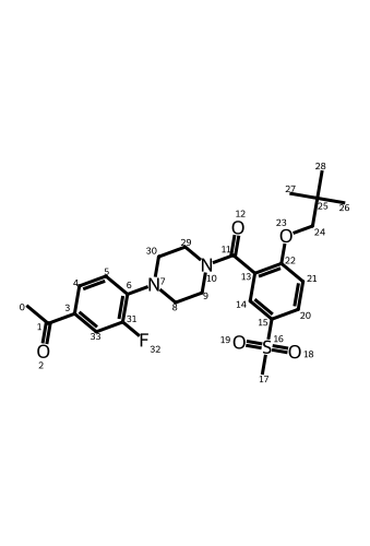 CC(=O)c1ccc(N2CCN(C(=O)c3cc(S(C)(=O)=O)ccc3OCC(C)(C)C)CC2)c(F)c1